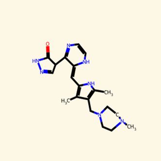 Cc1[nH]c(C=C2NC=CN=C2C2C=NNC2=O)c(C)c1CN1CCN(C)CC1